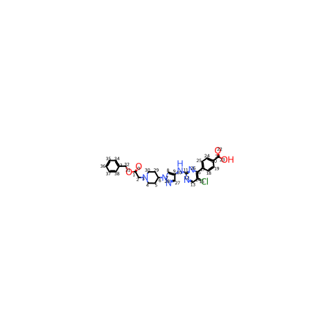 O=C(CN1CCC(n2cc(Nc3ncc(Cl)c(-c4ccc(C(=O)O)cc4)n3)cn2)CC1)OCc1ccccc1